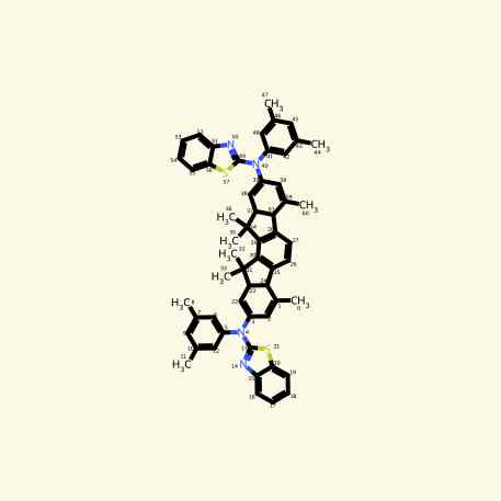 CC1=CC(N(c2cc(C)cc(C)c2)c2nc3ccccc3s2)=CC2C1c1ccc3c(c1C2(C)C)C(C)(C)C1C=C(N(c2cc(C)cc(C)c2)c2nc4ccccc4s2)C=C(C)C31